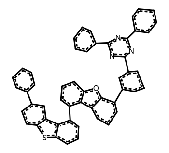 c1ccc(-c2ccc3sc4cccc(-c5cccc6oc7c(-c8cccc(-c9nc(-c%10ccccc%10)nc(-c%10ccccc%10)n9)c8)cccc7c56)c4c3c2)cc1